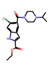 CCOC(=O)c1cc2cc(C(=O)N3CCN(C(C)C)CC3)c(Cl)cc2[nH]1